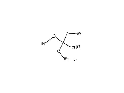 CC(C)OC([C]=O)(OC(C)C)OC(C)C.[Zr]